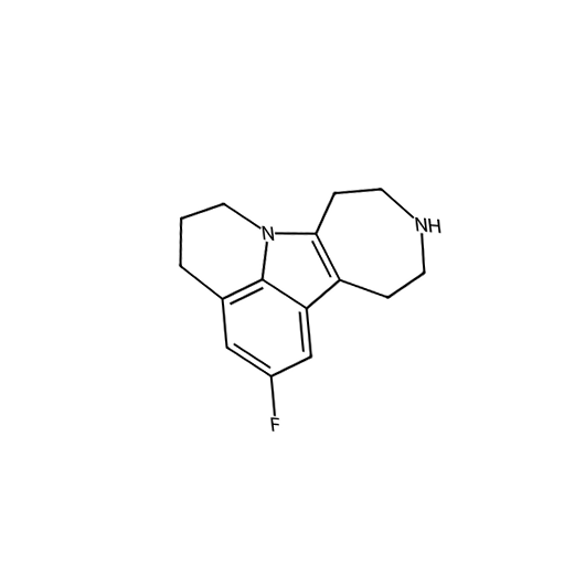 Fc1cc2c3c(c1)c1c(n3CCC2)CCNCC1